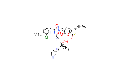 COc1ccc(C[C@@H](NC(=O)/C=C/C[C@H](O)[C@H](C)/C=C/c2cccnc2)C(=O)NC[C@@H](C)C(=O)O[C@@H](CC(C)C)C(=O)SCCNC(C)=O)cc1Cl